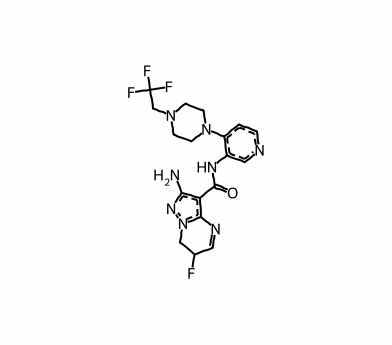 Nc1nn2c(c1C(=O)Nc1cnccc1N1CCN(CC(F)(F)F)CC1)N=CC(F)C2